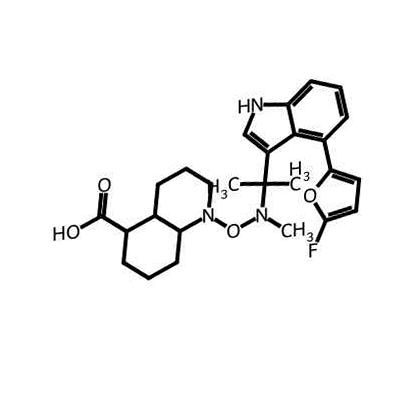 CN(ON1CCCC2C(C(=O)O)CCCC21)C(C)(C)c1c[nH]c2cccc(-c3ccc(F)o3)c12